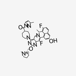 CCc1c(F)ccc2cc(O)cc(-c3ncc4c(N5CCCC(C(=O)n6ccc(C)n6)CC5)nc(OC[C@@H]5CCCN5C)nc4c3F)c12